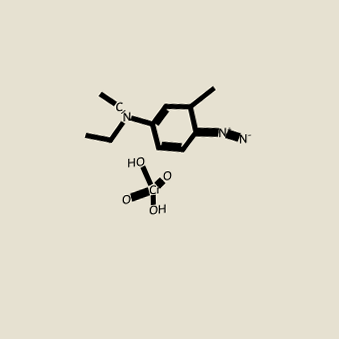 CCN(CC)C1=CC(C)C(=[N+]=[N-])C=C1.[O]=[Cr](=[O])([OH])[OH]